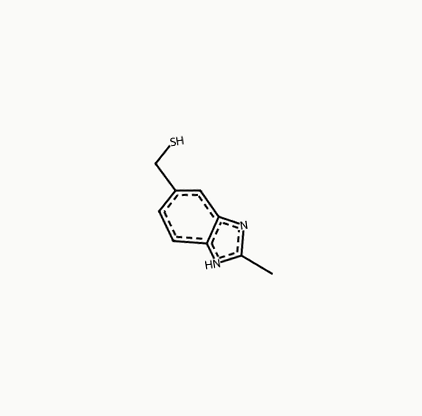 Cc1nc2cc(CS)ccc2[nH]1